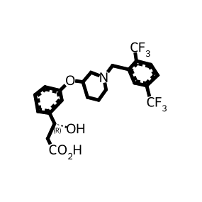 O=C(O)C[C@@H](O)c1cccc(OC2CCCN(Cc3cc(C(F)(F)F)ccc3C(F)(F)F)C2)c1